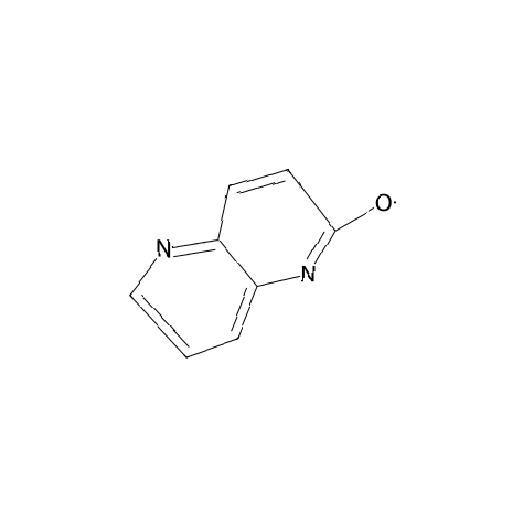 [O]c1ccc2ncccc2n1